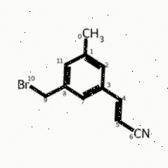 Cc1cc(C=CC#N)cc(CBr)c1